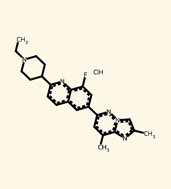 CCN1CCC(c2ccc3cc(-c4cc(C)c5nc(C)cn5n4)cc(F)c3n2)CC1.Cl